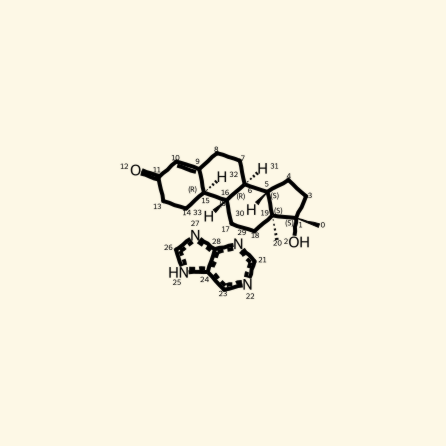 C[C@]1(O)CC[C@H]2[C@@H]3CCC4=CC(=O)CC[C@@H]4[C@H]3CC[C@@]21C.c1ncc2[nH]cnc2n1